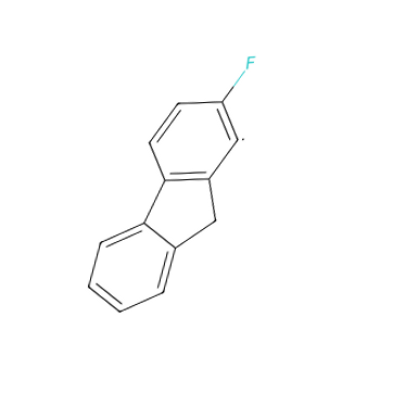 Fc1[c]c2c(cc1)-c1ccccc1C2